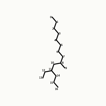 CCCCCCCCC(C)CC(CC)CCC